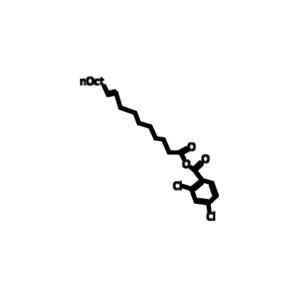 CCCCCCCCC=CCCCCCCCC(=O)OC(=O)c1ccc(Cl)cc1Cl